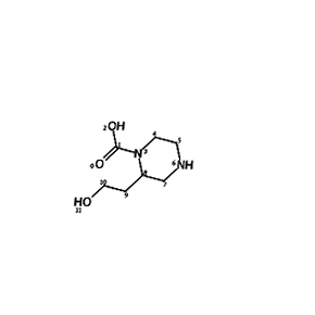 O=C(O)N1CCNCC1CCO